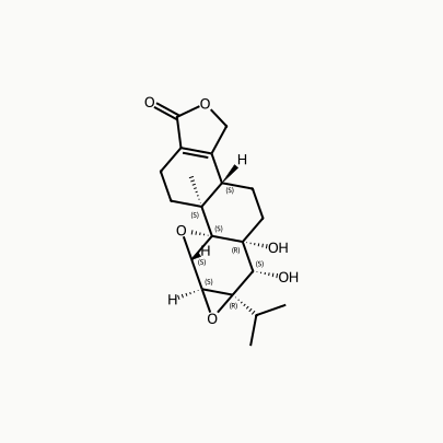 CC(C)[C@]12O[C@H]1[C@@H]1O[C@@]13[C@@]1(C)CCC4=C(COC4=O)[C@@H]1CC[C@@]3(O)[C@@H]2O